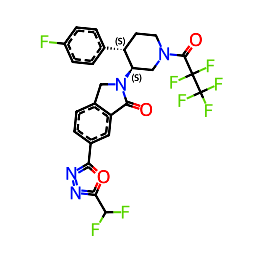 O=C1c2cc(-c3nnc(C(F)F)o3)ccc2CN1[C@@H]1CN(C(=O)C(F)(F)C(F)(F)F)CC[C@H]1c1ccc(F)cc1